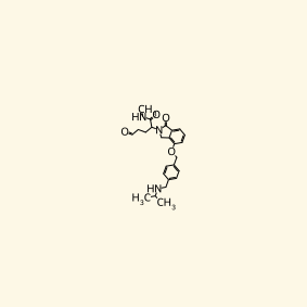 CNC(=O)C(CCC=O)N1Cc2c(OCc3ccc(CNC(C)C)cc3)cccc2C1=O